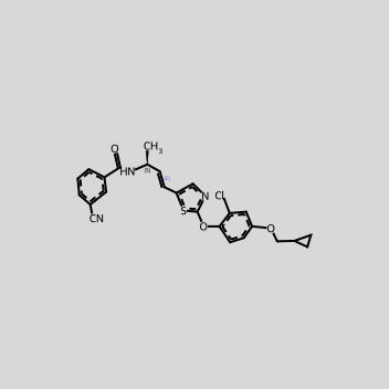 C[C@@H](/C=C/c1cnc(Oc2ccc(OCC3CC3)cc2Cl)s1)NC(=O)c1cccc(C#N)c1